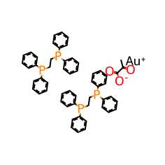 CC(=O)C(=O)[O-].[Au+].c1ccc(P(CCP(c2ccccc2)c2ccccc2)c2ccccc2)cc1.c1ccc(P(CCP(c2ccccc2)c2ccccc2)c2ccccc2)cc1